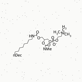 CCCCCCCCCCCCCCCCCCNC(=O)OCC(COP(=O)([O-])OCC[N+](C)(C)C)OC(=O)NC